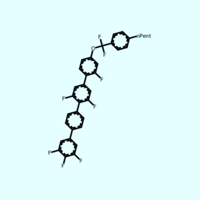 CCCCCc1ccc(C(F)(F)Oc2ccc(-c3cc(F)c(-c4ccc(-c5cc(F)c(F)c(F)c5)cc4)c(F)c3)c(F)c2)cc1